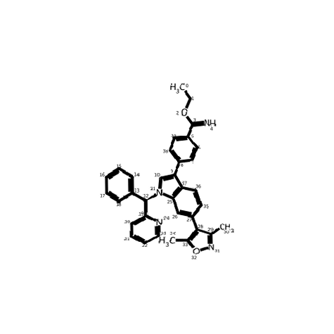 CCOC(=N)c1ccc(-c2cn([C@H](c3ccccc3)c3ccccn3)c3cc(-c4c(C)noc4C)ccc23)cc1